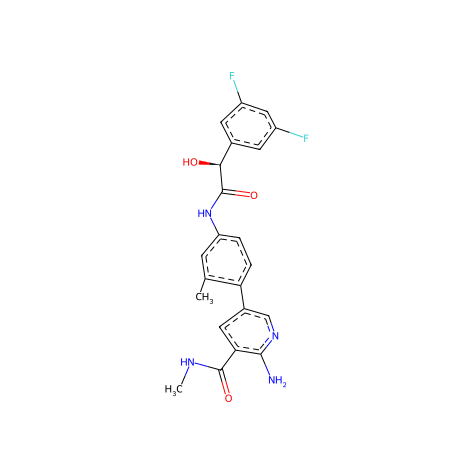 CNC(=O)c1cc(-c2ccc(NC(=O)[C@@H](O)c3cc(F)cc(F)c3)cc2C)cnc1N